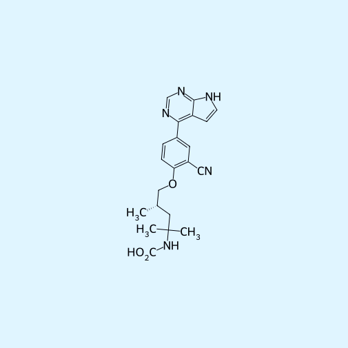 C[C@H](COc1ccc(-c2ncnc3[nH]ccc23)cc1C#N)CC(C)(C)NC(=O)O